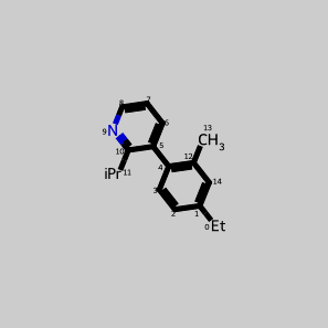 CCc1ccc(-c2cccnc2C(C)C)c(C)c1